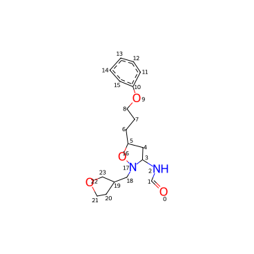 O=CNC1CC(CCCOc2ccccc2)ON1CC1CCOC1